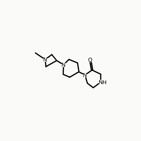 CN1CC(N2CCC(N3CCNCC3=O)CC2)C1